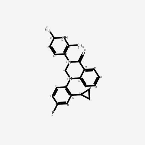 CC1=C(N2CN(c3ccc(F)cc3C3CC3)c3ccccc3C2=O)C=CC(O)N1